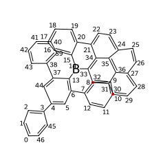 c1ccc(-c2cc(-c3ccccc3)c(B3c4ccccc4-c4ccc5ccc6cccc7cc3c4c5c67)c(-c3ccccc3)c2)cc1